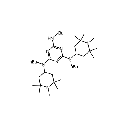 CCCCN(c1nc(NC(C)CC)nc(N(CCCC)C2CC(C)(C)N(C)C(C)(C)C2)n1)C1CC(C)(C)N(C)C(C)(C)C1